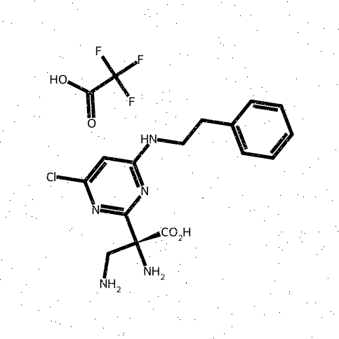 NC[C@](N)(C(=O)O)c1nc(Cl)cc(NCCc2ccccc2)n1.O=C(O)C(F)(F)F